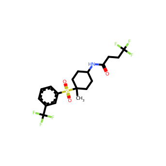 CC1(S(=O)(=O)c2cccc(C(F)(F)F)c2)CCC(NC(=O)CCC(F)(F)F)CC1